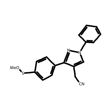 COSc1ccc(-c2nn(-c3ccccc3)cc2CC#N)cc1